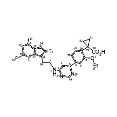 CCOc1cc(-c2cc(NCCc3c(C)sc4c(C)cc(F)cc34)ncn2)ccc1C1(C(=O)O)CC1